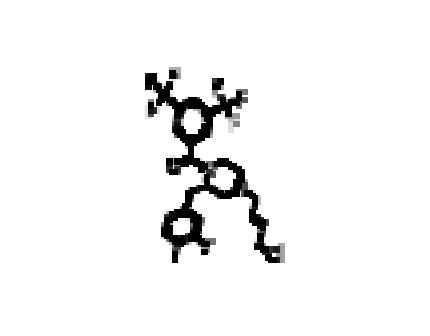 Cc1ccc(C[C@@H]2CN(C/C=C/CCl)CCN2C(=O)c2cc(C(F)(F)F)cc(C(F)(F)F)c2)cc1F